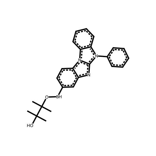 CC(C)(O)C(C)(C)OBc1ccc2c(c1)nc1n(-c3ccccc3)c3ccccc3n21